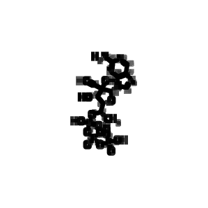 C#CC1(O)[C@@H](O)[C@@H]([C@@H](C)OP(=O)(O)OP(=O)(O)OP(=O)(O)O)O[C@H]1n1cnc2cnc(N)nc21